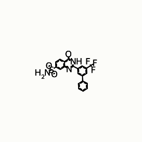 NS(=O)(=O)c1ccc2c(=O)[nH]c(-c3cc(-c4ccccc4)cc(C(F)(F)F)c3)nc2c1